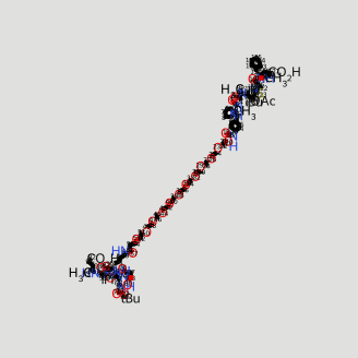 CC[C@H](C)[C@H](NC(=O)[C@H]1CCCC[N+]1(C)Cc1ccc(NC(=O)OCCOCCOCCOCCOCCOCCOCCOCCOCCOCCOCCOCCC(=O)NCCCC[C@H](NC(=O)[C@H](CNC(=O)OC(C)(C)C)N2C(=O)C=CC2=O)C(=O)N[C@H](C(=O)N[C@@H](C)CCC(=O)O)C(C)C)cc1)C(=O)N(C)[C@H](C[C@@H](OC(C)=O)c1nc(C(=O)N[C@@H](Cc2ccccc2)C[C@H](C)C(=O)O)cs1)C(C)C